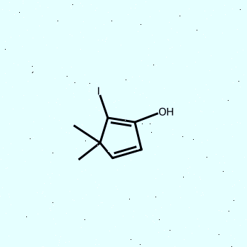 CC1(C)C=CC(O)=C1I